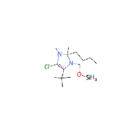 CCCCC1(C)N(C)C(Cl)=C(C(C)(C)C)N1CO[SiH3]